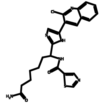 NC(=O)CCCCCC(NC(=O)c1cncs1)c1ncc(-c2cc3ccccc3nc2Cl)[nH]1